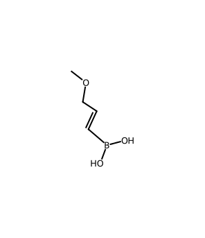 COCC=CB(O)O